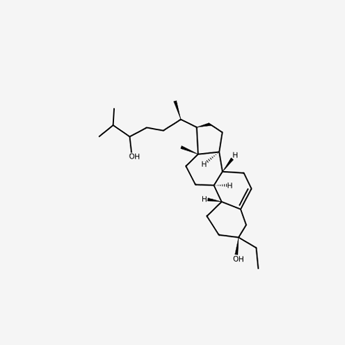 CC[C@]1(O)CC[C@H]2C(=CC[C@@H]3[C@@H]2CC[C@]2(C)[C@@H]([C@H](C)CCC(O)C(C)C)CC[C@@H]32)C1